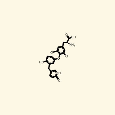 N[C@@H](Cc1cc(Cl)c(Oc2ccc(O)c(Cc3ccc(=O)[nH]c3)c2)c(Cl)c1)C(=O)O